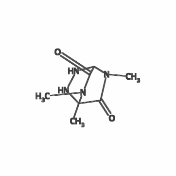 CN1C(=O)C2(C)NNC1C(=O)N2C